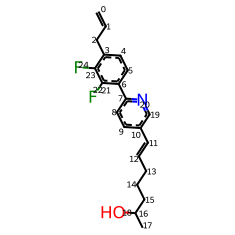 C=CCc1ccc(-c2ccc(C=CCCCC(C)O)cn2)c(F)c1F